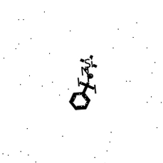 C[Si](C)(C)N=PC(I)(I)c1ccccc1